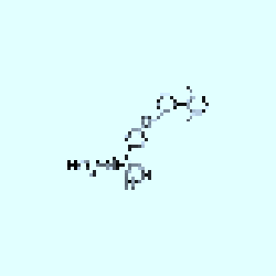 Cc1cccc(C)c1-c1cccc(COc2ccc(C(CNS(=O)(=O)O)c3cncnc3)cc2)c1